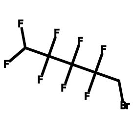 FC(F)C(F)(F)C(F)(F)C(F)(F)CBr